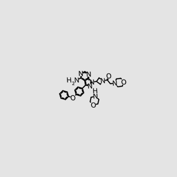 C1COCCN1.Nc1ncnc2c1c(-c1ccc(Oc3ccccc3)cc1)nn2C1CN(C(=O)CN2CCOCC2)C1